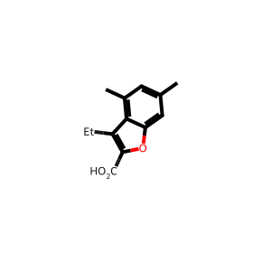 CCc1c(C(=O)O)oc2cc(C)cc(C)c12